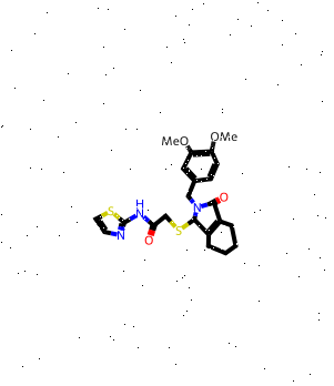 COc1ccc(CN2C(=O)C3=C(CCCC3)C2SCC(=O)Nc2nccs2)cc1OC